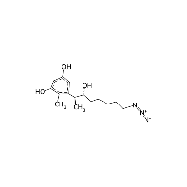 Cc1c(O)cc(O)cc1[C@H](C)[C@H](O)CCCCCN=[N+]=[N-]